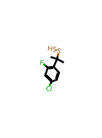 CC(C)(SS)c1ccc(Cl)cc1F